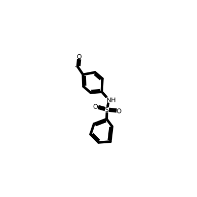 O=[C]c1ccc(NS(=O)(=O)c2ccccc2)cc1